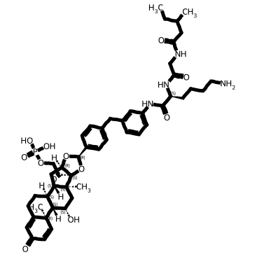 CCC(C)CC(=O)NCC(=O)N[C@@H](CCCCN)C(=O)Nc1cccc(Cc2ccc([C@@H]3O[C@@H]4C[C@H]5[C@@H]6CCC7=CC(=O)C=C[C@]7(C)[C@H]6[C@@H](O)C[C@]5(C)[C@]4(C(=O)COP(=O)(O)O)O3)cc2)c1